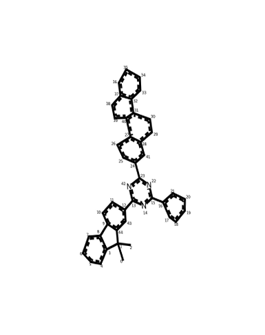 CC1(C)c2ccccc2-c2ccc(-c3nc(-c4ccccc4)nc(-c4ccc5c(ccc6c7ccccc7ccc56)c4)n3)cc21